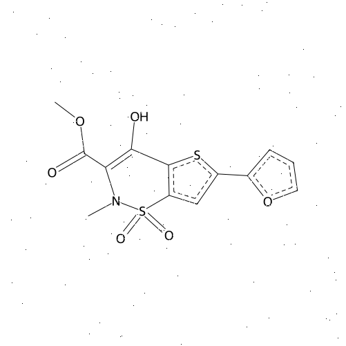 COC(=O)C1=C(O)c2sc(-c3ccco3)cc2S(=O)(=O)N1C